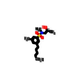 C[C@H](O)CN(C)S(=O)(=O)c1cc(CCCCC(=O)O)cc(C(F)(F)F)c1